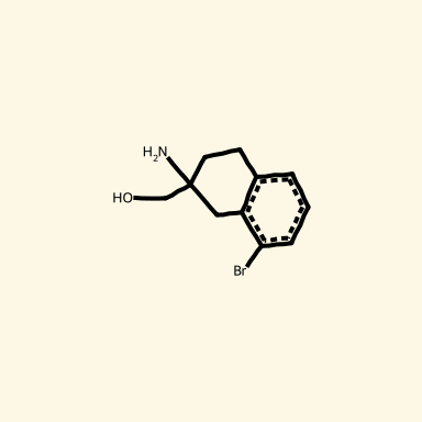 NC1(CO)CCc2cccc(Br)c2C1